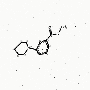 COC(=O)c1cccc(N2CCCCC2)c1